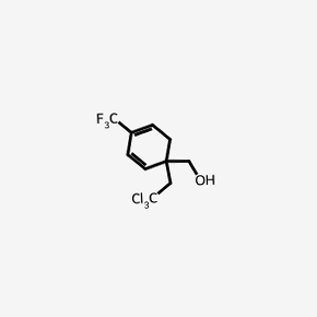 OCC1(CC(Cl)(Cl)Cl)C=CC(C(F)(F)F)=CC1